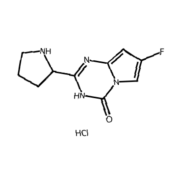 Cl.O=c1[nH]c(C2CCCN2)nc2cc(F)cn12